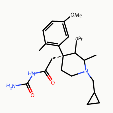 CCCC1C(C)N(CC2CC2)CC[C@@]1(CC(=O)NC(N)=O)c1cc(OC)ccc1C